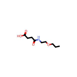 CCCOCCNC(=O)CCC(=O)O